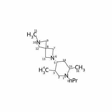 CCCN1CC(C)[C@H](N2CC3(CN(C)C3)C2)CC1C